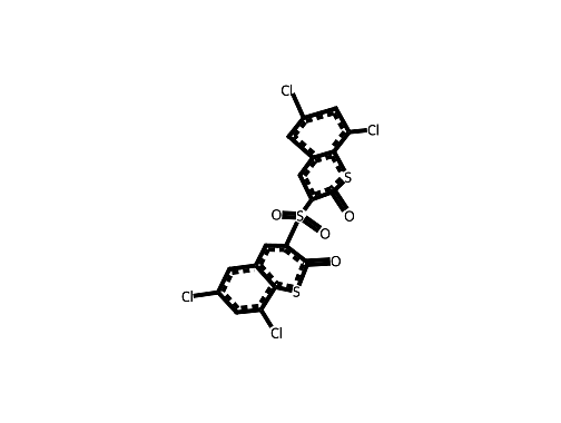 O=c1sc2c(Cl)cc(Cl)cc2cc1S(=O)(=O)c1cc2cc(Cl)cc(Cl)c2sc1=O